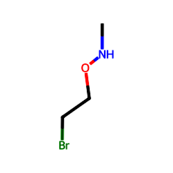 CNOCCBr